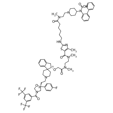 Cc1nc(NCCCCCC(=O)N(C)CCN2CCC(N(C(=O)O)c3ccccc3-c3ccccc3)CC2)sc1C(=O)N(C)CCN(C)C(=O)CO[C@H]1Cc2ccccc2C12CCN(CC[C@@]1(c3ccc(F)cc3)CN(C(=O)c3cc(C(F)(F)F)cc(C(F)(F)F)c3)CO1)CC2